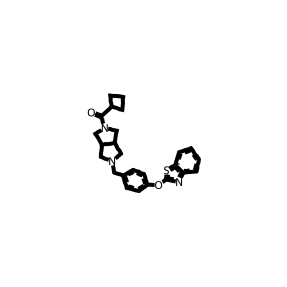 O=C(C1CCC1)N1CC2CN(Cc3ccc(Oc4nc5ccccc5s4)cc3)CC2C1